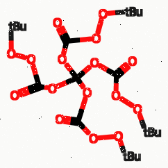 CC(C)(C)OOC(=O)OC(OC(=O)OOC(C)(C)C)(OC(=O)OOC(C)(C)C)OC(=O)OOC(C)(C)C